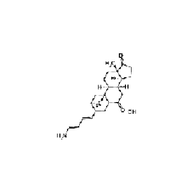 C[C@]12CC[C@H](C=CCCN)CC1C(=O)C[C@@H]1[C@@H]2CC[C@]2(C)C(=O)CC[C@@H]12.Cl